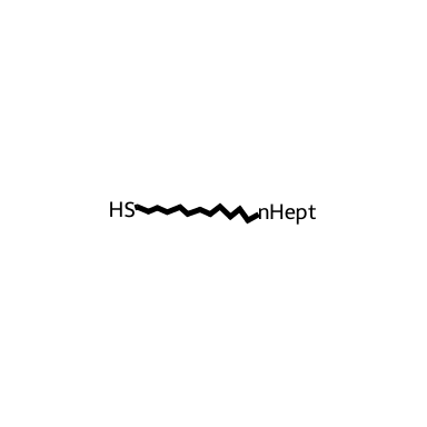 CCCCCCCCCCCCCCCCCCCS